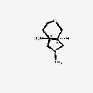 CN1C[C@@H]2COCC[C@@]2(N)C1